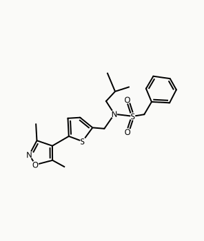 Cc1noc(C)c1-c1ccc(CN(CC(C)C)S(=O)(=O)Cc2ccccc2)s1